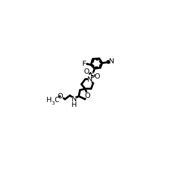 COCCNC1COC2(CCN(S(=O)(=O)c3cc(C#N)ccc3F)CC2)C1